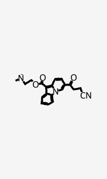 CN(C)CCOC(=O)c1c2ccccc2n2cc(C(=O)CCC#N)ccc12